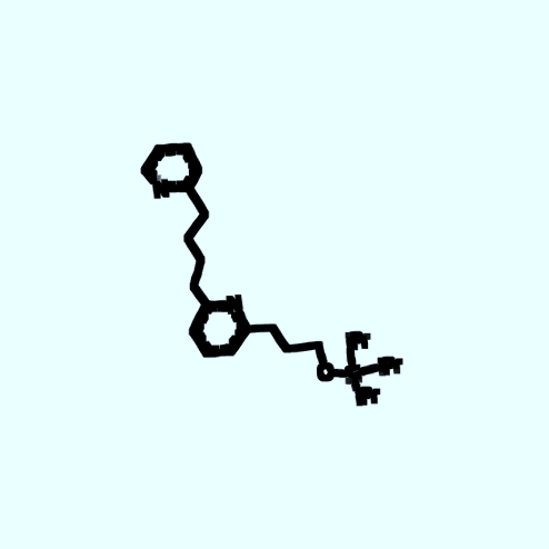 CC(C)[Si](OCCCc1cccc(CCCCc2ccccn2)n1)(C(C)C)C(C)C